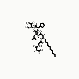 CCCCCCCCCC[C@@H](OC(=O)CNC(=O)[C@@H](C)[C@H](C)O)[C@@H](C)C(=O)N(C)[C@@H](CC(C)C)C(=O)N[C@H](C(=O)N[C@@H](CO)C(N)=O)C1CCCC1